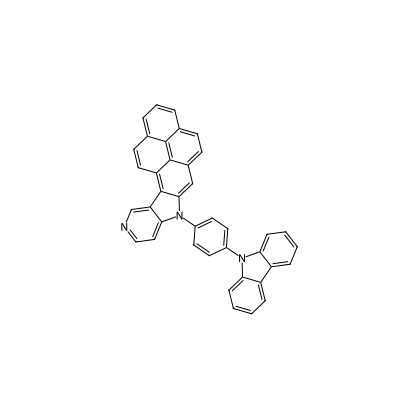 c1cc2ccc3cc4c(c5ccc(c1)c2c35)c1cnccc1n4-c1ccc(-n2c3ccccc3c3ccccc32)cc1